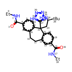 CCNC(=O)c1ccc2c(c1)CCc1cc(C(=O)NCC)ccc1C2(C[C@@H](N)C(C)(C)C)c1nnn[nH]1